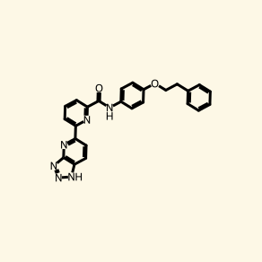 O=C(Nc1ccc(OCCc2ccccc2)cc1)c1cccc(-c2ccc3[nH]nnc3n2)n1